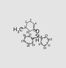 CC1CCC=C(O[SiH](c2ccccc2)c2ccccc2)C1